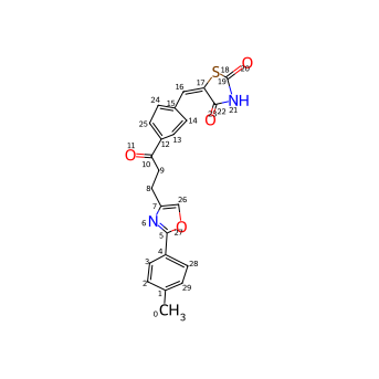 Cc1ccc(-c2nc(CCC(=O)c3ccc(C=C4SC(=O)NC4=O)cc3)co2)cc1